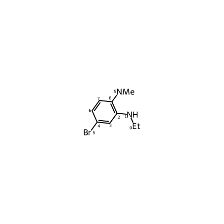 CCNc1cc(Br)ccc1NC